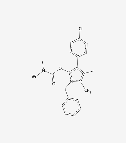 Cc1c(-c2ccc(Cl)cc2)c(OC(=O)N(C)C(C)C)n(Cc2ccccc2)c1C(F)(F)F